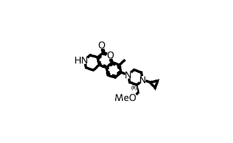 COC[C@H]1CN(c2ccc3c4c(c(=O)oc3c2C)CNCC4)CCN1C1CC1